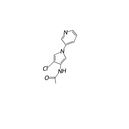 CC(=O)Nc1cn(-c2cccnc2)cc1Cl